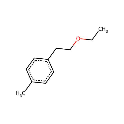 CCOCCc1ccc(C)cc1